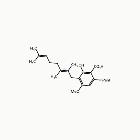 CCCCCc1cc(OC)c(C/C(C)=C(\C)CCC=C(C)C)c(O)c1C(=O)O